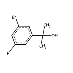 CC(C)(O)c1cc(F)cc(Br)c1